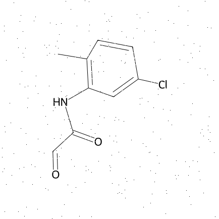 Cc1ccc(Cl)cc1NC(=O)C=O